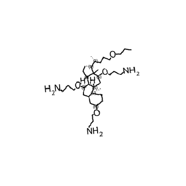 CCCOCCC[C@@H](C)[C@H]1CC[C@H]2C3[C@H](OCCCN)CC4C[C@H](OCCCN)CC[C@]4(C)[C@H]3C[C@H](OCCCN)C12C